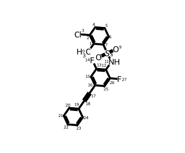 Cc1c(Cl)cccc1S(=O)(=O)Nc1c(F)cc(C#Cc2ccccc2)cc1F